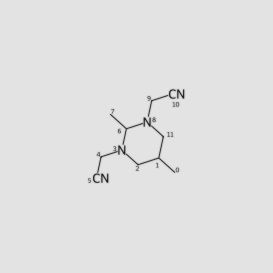 CC1CN(CC#N)C(C)N(CC#N)C1